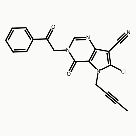 CC#CCn1c(Cl)c(C#N)c2ncn(CC(=O)c3ccccc3)c(=O)c21